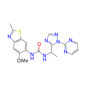 COc1cc2nc(C)sc2cc1NC(=O)NC(C)c1ncnn1-c1ncccn1